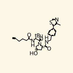 C#CCCCC(=O)NC(C(=O)N1C[C@H](O)C[C@H]1C(=O)NCc1ccc(-c2scnc2C)cc1)C(C)(C)C